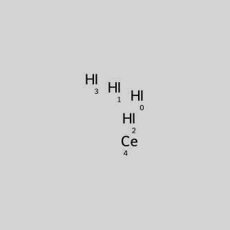 I.I.I.I.[Ce]